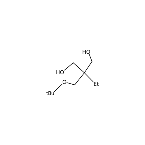 CCC(CO)(CO)COC(C)(C)C